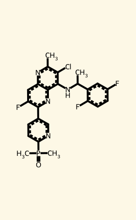 Cc1nc2cc(F)c(-c3ccc(P(C)(C)=O)nc3)nc2c(NC(C)c2cc(F)ccc2F)c1Cl